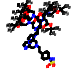 CC(C)(C)CN(CC(=O)OC(C)(C)C)C(=O)CN(CCCn1ccnc1CN(CCc1ccc(N[SH](=O)=O)cc1)Cc1nccn1CCCN(CC(=O)N(CC(=O)OC(C)(C)C)CC(=O)OC(C)(C)C)CC(=O)N(CC(=O)OC(C)(C)C)CC(C)(C)C)CC(=O)N(CC(=O)OC(C)(C)C)CC(=O)OC(C)(C)C